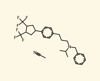 CC#N.CC(C)N(CCCc1ccc(C2CC(C(F)(F)F)C(C(F)(F)F)C2)cc1)Cc1ccccc1